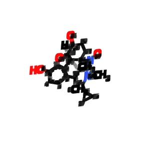 CCc1ccc(O)c2c1[C@@]1(CCN(C)CC3CC3)[C@@H](O2)C(=O)CCC1(C)N=O